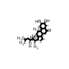 CC(C)C[C@@H](O)[C@H](O)[C@@H](C)[C@H]1CCC2C3CC(=O)C4C[C@H](O)[C@H](O)C[C@]4(C)C3CC[C@@]21C